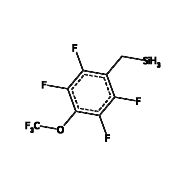 Fc1c(F)c(OC(F)(F)F)c(F)c(F)c1C[SiH3]